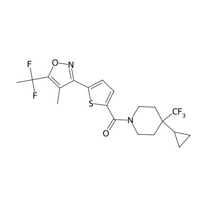 Cc1c(-c2ccc(C(=O)N3CCC(C4CC4)(C(F)(F)F)CC3)s2)noc1C(C)(F)F